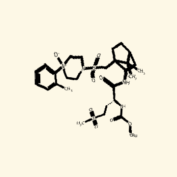 Cc1ccccc1[N+]1([O-])CCN(S(=O)(=O)CC23CCC(CC2NC(=O)[C@@H](CCS(C)(=O)=O)NC(=O)OC(C)(C)C)C3(C)C)CC1